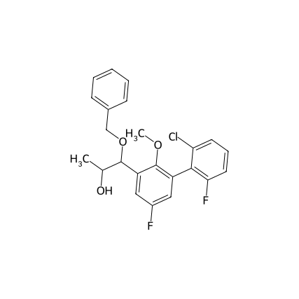 COc1c(-c2c(F)cccc2Cl)cc(F)cc1C(OCc1ccccc1)C(C)O